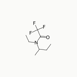 CCC(C)N(CC)C(=O)C(F)(F)F